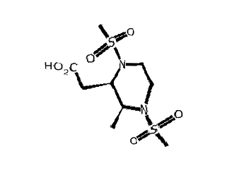 C[C@H]1[C@@H](CC(=O)O)N(S(C)(=O)=O)CCN1S(C)(=O)=O